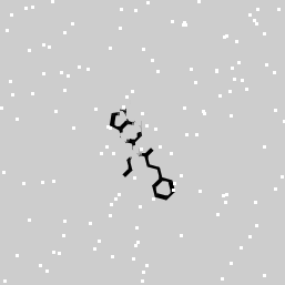 Bn1ccc2nc(N(CC=C)C(=C)CCc3ccccc3)cnc21